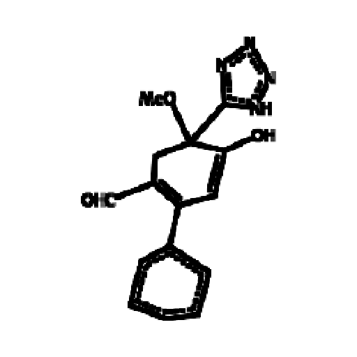 COC1(c2nnn[nH]2)CC(C=O)=C(c2ccccc2)C=C1O